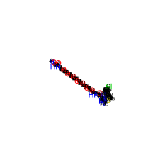 C=NOCC(=O)NCCOCCOCCOCCOCCOCCOCCOCCNC(=O)C[C@@H]1N=C(c2ccc(Cl)cc2)c2c(sc(C)c2C)-n2c(C)nnc21